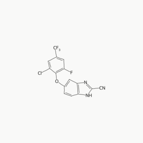 N#Cc1nc2cc(Oc3c(F)cc(C(F)(F)F)cc3Cl)ccc2[nH]1